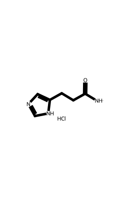 Cl.[NH]C(=O)CCc1cnc[nH]1